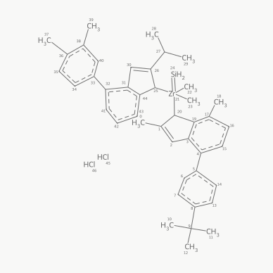 CC1=Cc2c(-c3ccc(C(C)(C)C)cc3)ccc(C)c2[CH]1[Zr]([CH3])([CH3])(=[SiH2])[CH]1C(C(C)C)=Cc2c(-c3ccc(C)c(C)c3)cccc21.Cl.Cl